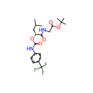 CC(C)C[C@H](OC(=O)Nc1ccc(C(F)(F)F)cc1)C(=O)NCC(=O)OC(C)(C)C